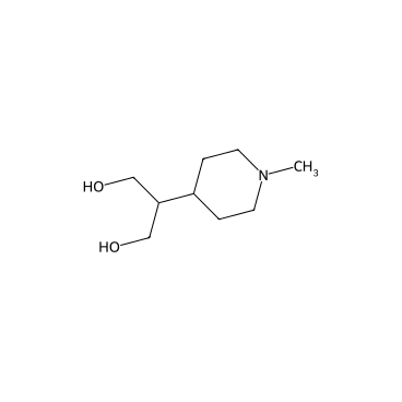 CN1CCC(C(CO)CO)CC1